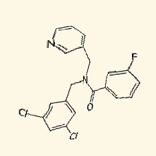 O=C(c1cccc(F)c1)N(Cc1cccnc1)Cc1cc(Cl)cc(Cl)c1